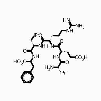 CC(C)C[C@H](NC(=O)[C@H](CCCNC(=N)N)NC(=O)[C@H](CCC(=O)O)NC(=O)[C@@H](N)C(C)C)C(=O)N[C@@H](Cc1ccccc1)C(=O)O